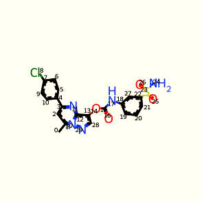 Cc1cc(-c2ccc(Cl)cc2)nc2c(OC(=O)Nc3cccc(S(N)(=O)=O)c3)cnn12